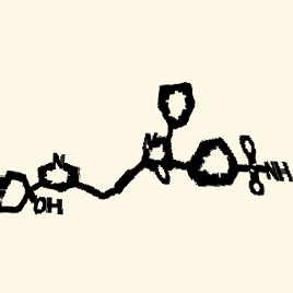 NS(=O)(=O)c1ccc(-c2oc(C#CCc3cncc(C4(O)CCOCC4)c3)nc2-c2ccccc2)cc1